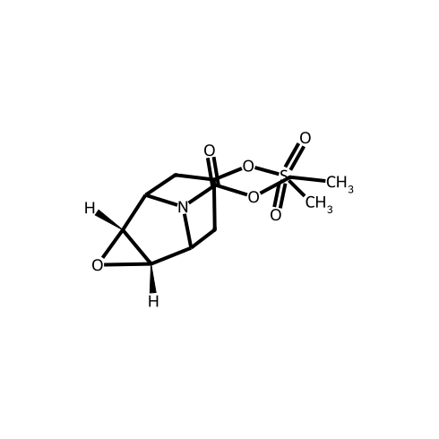 CCOC(=O)N1C2CC(OS(C)(=O)=O)CC1[C@@H]1O[C@H]21